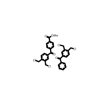 COC(=O)c1ccc(C(=O)c2ccc(CCl)c(CCl)c2)cc1.O=C(c1ccccc1)c1ccc(CCl)c(CCl)c1